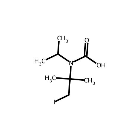 CC(C)N(C(=O)O)C(C)(C)CI